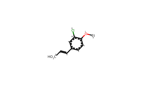 CCOc1ccc(C=CC(=O)O)cc1Cl